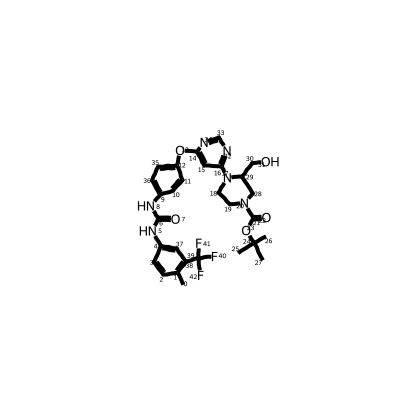 Cc1ccc(NC(=O)Nc2ccc(Oc3cc(N4CCN(C(=O)OC(C)(C)C)CC4CO)ncn3)cc2)cc1C(F)(F)F